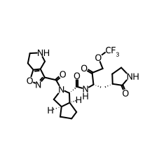 O=C1NCC[C@H]1C[C@H](NC(=O)[C@@H]1[C@H]2CCC[C@H]2CN1C(=O)c1noc2c1CNCC2)C(=O)COC(F)(F)F